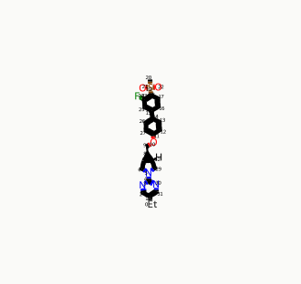 CCc1cnc(N2CC3[C@@H](COc4ccc(-c5ccc(S(C)(=O)=O)c(F)c5)cc4)[C@@H]3C2)nc1